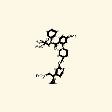 CCOC(=O)CC(c1ccnc(OCC2CCN(c3cc(OC)ccc3C(=O)N(CC(C)(C)OC)c3ccccc3)CC2)c1)C1CC1